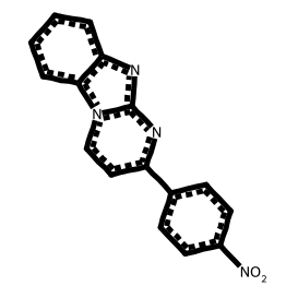 O=[N+]([O-])c1ccc(-c2ccn3c(n2)nc2ccccc23)cc1